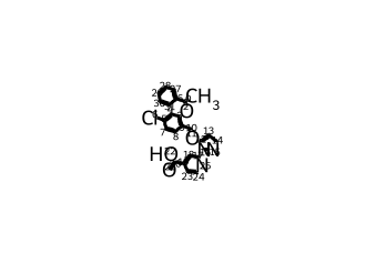 CC(Oc1cc(Cl)ccc1COc1ccnn1-c1cc(C(=O)O)ccn1)c1ccccc1